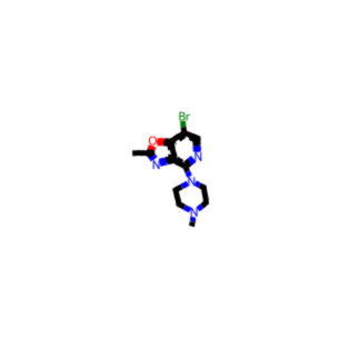 Cc1nc2c(N3CCN(C)CC3)ncc(Br)c2o1